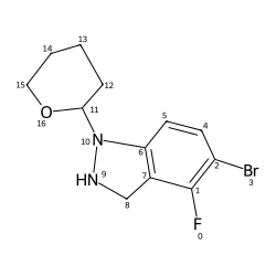 Fc1c(Br)ccc2c1CNN2C1CCCCO1